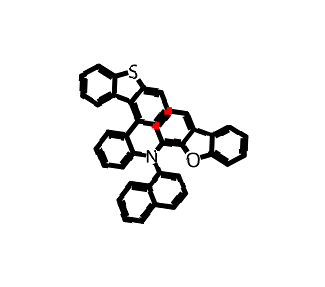 c1ccc(N(c2cccc3ccccc23)c2cccc3c2oc2ccccc23)c(-c2cccc3sc4ccccc4c23)c1